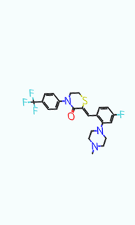 CN1CCN(c2cc(F)ccc2C=C2SCCN(c3ccc(C(F)(F)F)cc3)C2=O)CC1